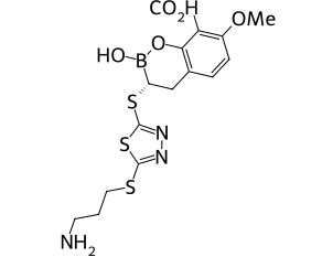 COc1ccc2c(c1C(=O)O)OB(O)[C@@H](Sc1nnc(SCCCN)s1)C2